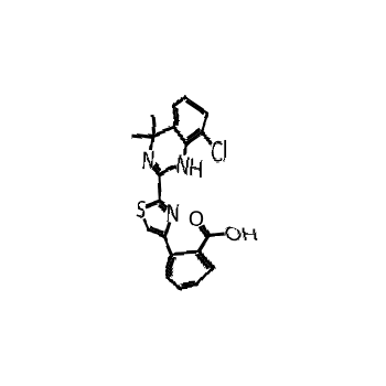 CC1(C)N=C(c2nc(-c3ccccc3C(=O)O)cs2)Nc2c(Cl)cccc21